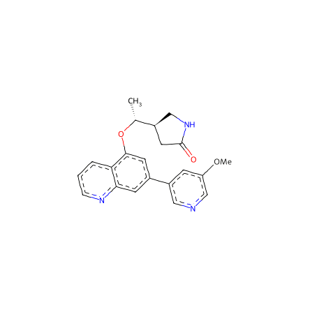 COc1cncc(-c2cc(O[C@H](C)[C@H]3CNC(=O)C3)c3cccnc3c2)c1